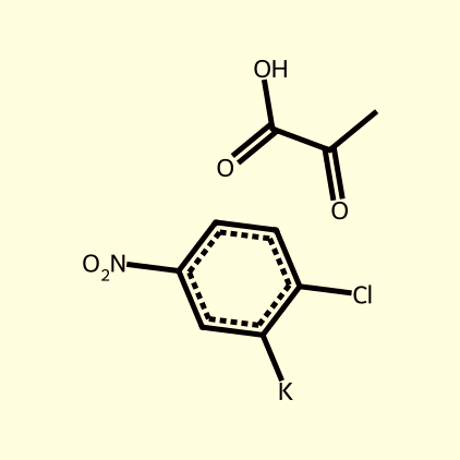 CC(=O)C(=O)O.O=[N+]([O-])c1ccc(Cl)[c]([K])c1